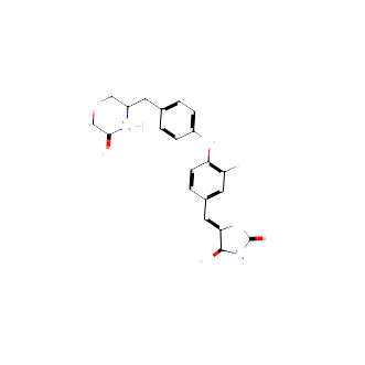 O=C1COCC(Cc2ccc(Oc3ccc(/C=C4\SC(=O)NC4=O)cc3F)cc2)N1